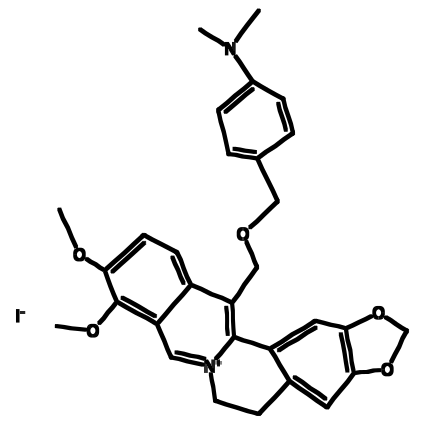 COc1ccc2c(COCc3ccc(N(C)C)cc3)c3[n+](cc2c1OC)CCc1cc2c(cc1-3)OCO2.[I-]